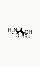 CCCC/C(O)=C(/C)C(N)=O